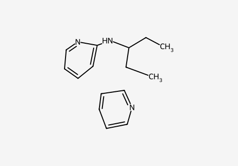 CCC(CC)Nc1ccccn1.c1ccncc1